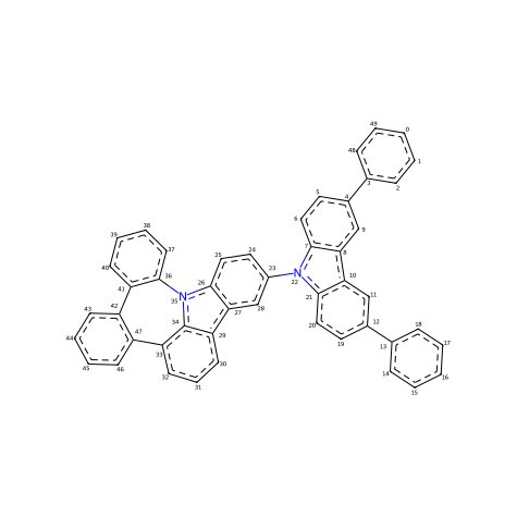 c1ccc(-c2ccc3c(c2)c2cc(-c4ccccc4)ccc2n3-c2ccc3c(c2)c2cccc4c2n3-c2ccccc2-c2ccccc2-4)cc1